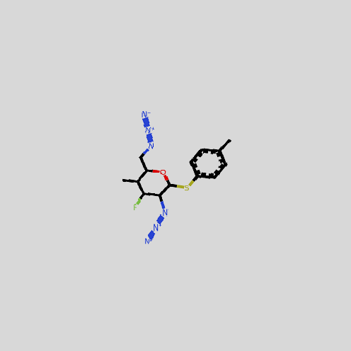 Cc1ccc(SC2OC(CN=[N+]=[N-])C(C)C(F)C2N=[N+]=[N-])cc1